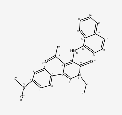 CCn1nc(-c2ccc([S+](C)[O-])cc2)c(C(C)=O)c(Nc2cccc3ccccc23)c1=O